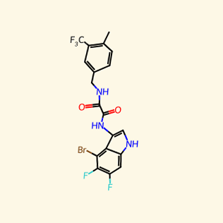 Cc1ccc(CNC(=O)C(=O)Nc2c[nH]c3cc(F)c(F)c(Br)c23)cc1C(F)(F)F